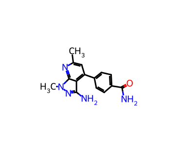 Cc1cc(-c2ccc(C(N)=O)cc2)c2c(N)nn(C)c2n1